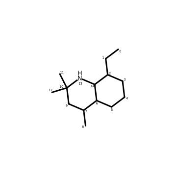 CCC1CCCC2C(C)CC(C)(C)NC12